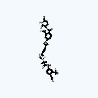 CC(C)(C(=O)Nc1ccc(C#N)c(C(F)(F)F)c1)n1cnc(C#CC2CN(c3ccc4c(c3)C(=O)N(C3CCC(=O)NC3=O)C4=O)C2)n1